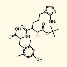 Cc1cc(O)cc(C)c1CC(NC(=O)C(CCCn1ccnc1N)NC(=O)OC(C)(C)C)C(=O)O